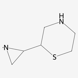 C1CSC(C2C[N]2)CN1